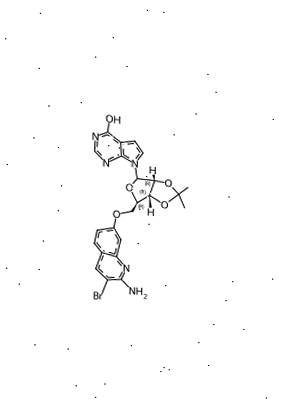 CC1(C)O[C@@H]2[C@@H](COc3ccc4cc(Br)c(N)nc4c3)OC(n3ccc4c(O)ncnc43)[C@@H]2O1